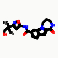 CC(C)(CO)c1cc(NC(=O)c2ccc3cc4n(c3c2)CCCNC4=O)on1